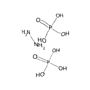 NN.O=P(O)(O)O.O=P(O)(O)O